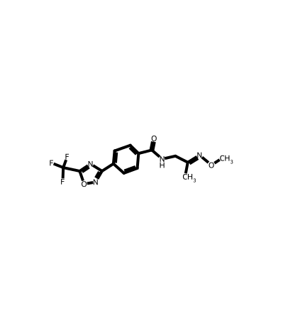 CO/N=C(\C)CNC(=O)c1ccc(-c2noc(C(F)(F)F)n2)cc1